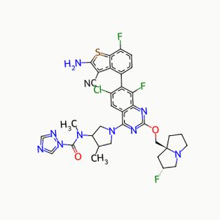 CC1CN(c2nc(OC[C@@]34CCCN3C[C@H](F)C4)nc3c(F)c(-c4ccc(F)c5sc(N)c(C#N)c45)c(Cl)cc23)CC1N(C)C(=O)n1cncn1